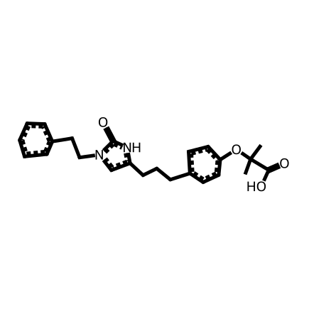 CC(C)(Oc1ccc(CCCc2cn(CCc3ccccc3)c(=O)[nH]2)cc1)C(=O)O